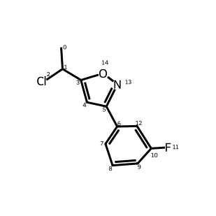 CC(Cl)c1cc(-c2cccc(F)c2)no1